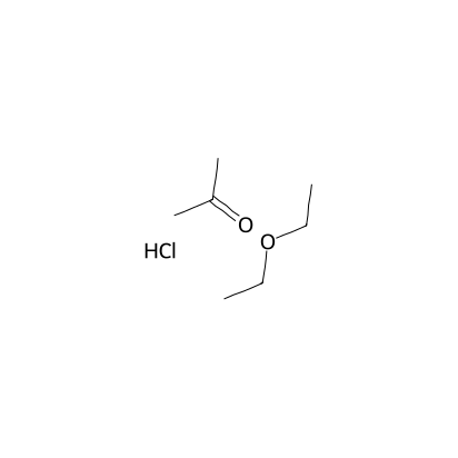 CC(C)=O.CCOCC.Cl